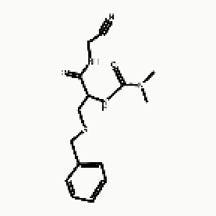 CN(C)C(=O)NC(CSCc1ccccc1)C(=O)NCC#N